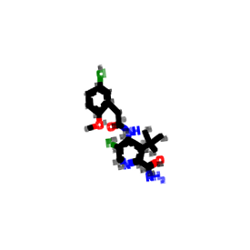 COc1ccc(Cl)cc1CC(=O)Nc1c(F)cnc(C(N)=O)c1C(C)(C)C